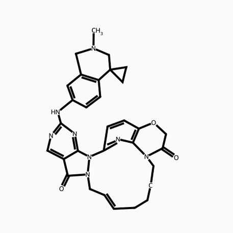 CN1Cc2cc(Nc3ncc4c(=O)n5n(c4n3)-c3ccc4c(n3)N(CCCC/C=C/C5)C(=O)CO4)ccc2C2(CC2)C1